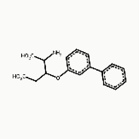 NC(C(=O)O)C(CC(=O)O)Oc1cccc(-c2ccccc2)c1